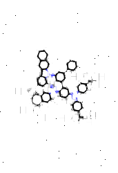 Cc1cc2c(cc1N1B3c4c(cc(-c5ccccc5)cc4-n4c5cc6ccccc6cc5c5cccc3c54)-c3cc(N(c4ccc(C(C)(C)C)cc4)c4ccc(C(C)(C)C)cc4)ccc31)C(C)(C)CCC2(C)C